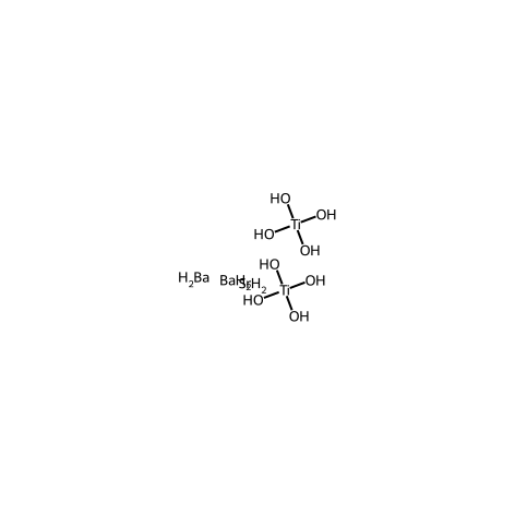 [BaH2].[BaH2].[OH][Ti]([OH])([OH])[OH].[OH][Ti]([OH])([OH])[OH].[SrH2]